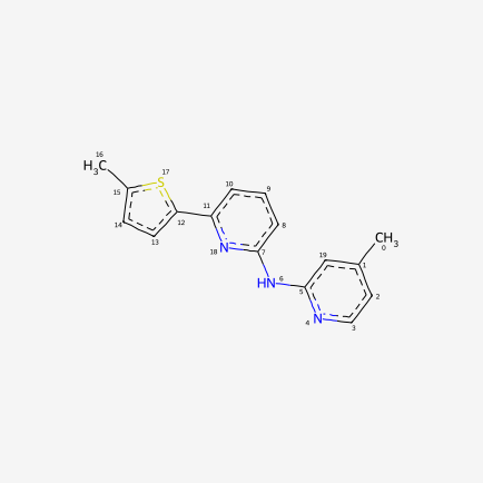 Cc1ccnc(Nc2cccc(-c3ccc(C)s3)n2)c1